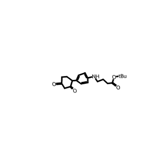 CC(C)(C)OC(=O)CCCNc1ccc(C2CCC(=O)CC2=O)cc1